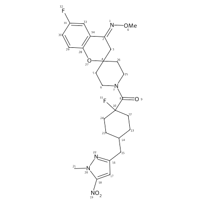 CO/N=C1\CC2(CCN(C(=O)C3(F)CCC(Cc4cc([N+](=O)[O-])n(C)n4)CC3)CC2)Oc2ccc(F)cc21